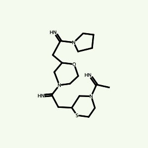 CC(=N)N1CCSC(CC(=N)N2CCOC(CC(=N)N3CCCC3)C2)C1